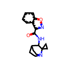 O=C(NC1C2CCN(CC2)C12CC2)c1noc2ccccc12